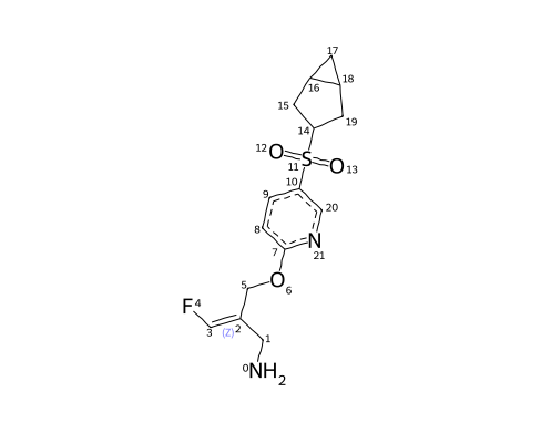 NC/C(=C/F)COc1ccc(S(=O)(=O)C2CC3CC3C2)cn1